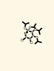 CC(C)ON1P(OC(C)C)N(Cl)P(Cl)N=P1(OC(C)C)OC(C)C